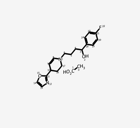 CC(=O)O.OC(CCCN1C=CC(c2ncco2)CC1)c1ccc(F)cc1